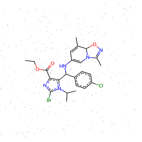 CCOC(=O)c1nc(Br)n(C(C)C)c1C(NC1=CN2C(C)=NOC2C(C)=C1)c1ccc(Cl)cc1